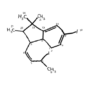 CC(I)/C=C\C1C2CC=C(I)C=C2C(C)(C)C1C